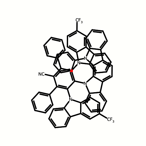 N#Cc1c(-c2ccccc2)c(-n2c3ccccc3c3cc(C(F)(F)F)ccc32)c(-n2c3ccccc3c3ccc4c5ccccc5n(-c5ccccc5)c4c32)c(-n2c3ccccc3c3cc(C(F)(F)F)ccc32)c1-c1ccccc1